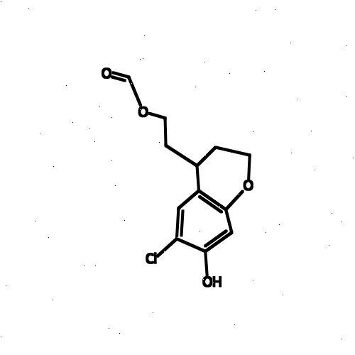 O=COCCC1CCOc2cc(O)c(Cl)cc21